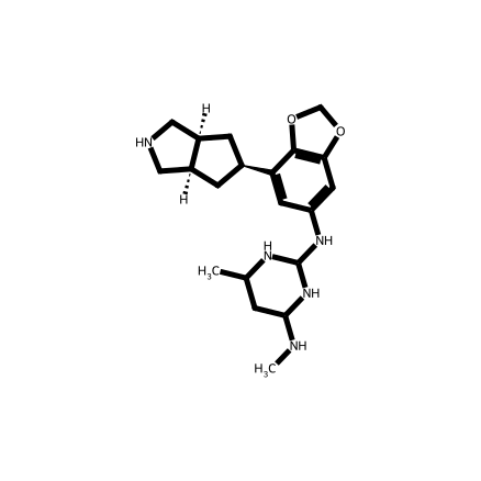 CNC1CC(C)NC(Nc2cc3c(c([C@H]4C[C@H]5CNC[C@H]5C4)c2)OCO3)N1